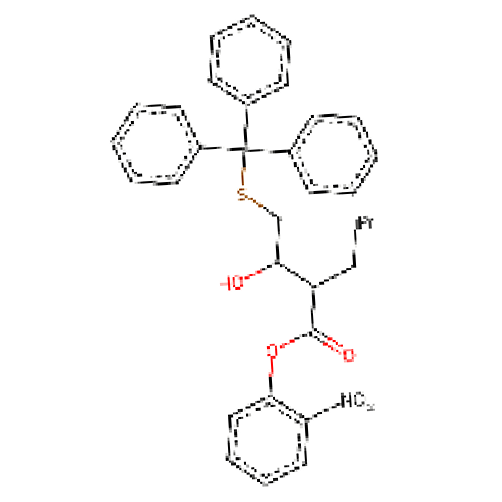 CC(C)CC(C(=O)Oc1ccccc1[N+](=O)[O-])C(O)CSC(c1ccccc1)(c1ccccc1)c1ccccc1